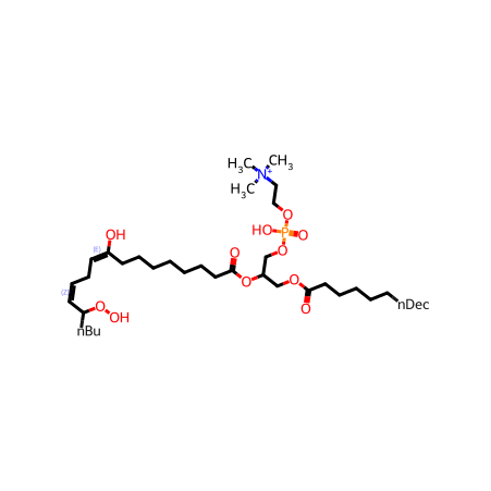 CCCCCCCCCCCCCCCC(=O)OCC(COP(=O)(O)OCC[N+](C)(C)C)OC(=O)CCCCCCC/C(O)=C\C/C=C\C(CCCC)OO